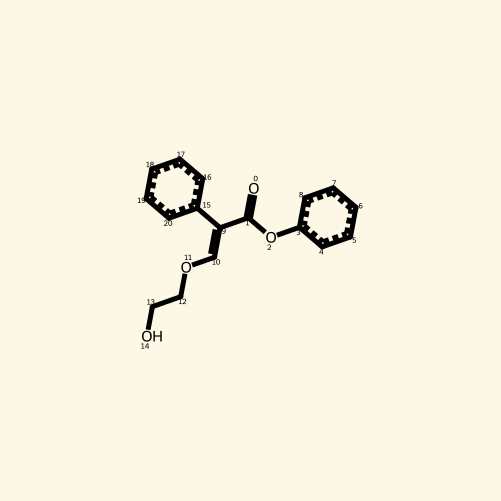 O=C(Oc1ccccc1)C(=COCCO)c1ccccc1